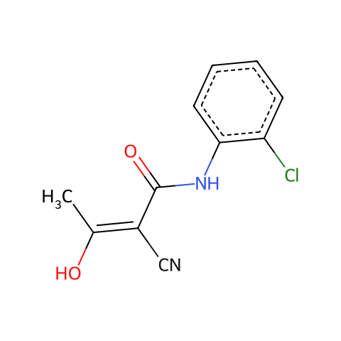 C/C(O)=C(/C#N)C(=O)Nc1ccccc1Cl